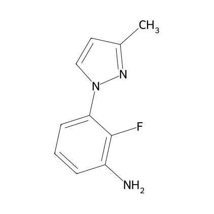 Cc1ccn(-c2cccc(N)c2F)n1